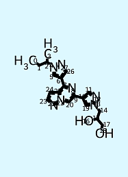 CCC(C)n1cc(-c2nc(-c3cnn(CC(O)CO)c3)cn3nccc23)cn1